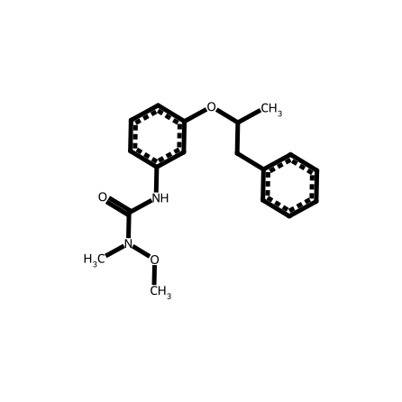 CON(C)C(=O)Nc1cccc(OC(C)Cc2ccccc2)c1